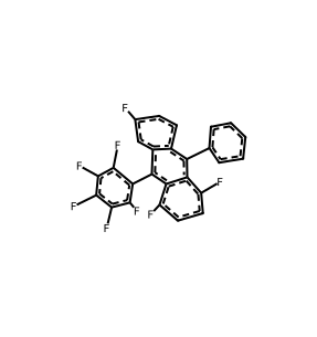 Fc1ccc2c(-c3ccccc3)c3c(F)ccc(F)c3c(-c3c(F)c(F)c(F)c(F)c3F)c2c1